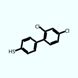 Sc1ccc(-c2ccc(Cl)cc2Cl)cc1